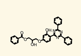 O=C(OCC(O)COc1ccc(-c2nc(-c3ccccc3)nc(-c3ccccc3)n2)c(O)c1)c1ccccc1